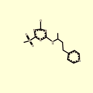 CC(CCc1ccncc1)Nc1nc(Cl)nc(S(C)(=O)=O)n1